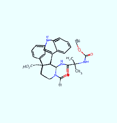 CCC(=O)N1CCC(C(=O)O)(c2ccccc2)C(c2c[nH]c3ccccc23)C1NC(=O)C(C)(C)NC(=O)OC(C)(C)C